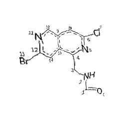 O=CNCc1nc(Cl)cc2cnc(Br)cc12